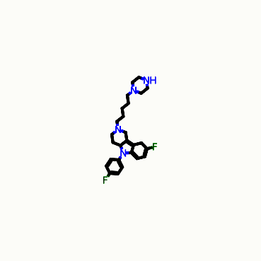 FC1=CC=C2C(=C3CN(CCCCCN4CCNCC4)CCC3N2c2ccc(F)cc2)C1